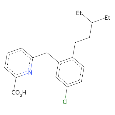 CCC(CC)CCc1ccc(Cl)cc1Cc1cccc(C(=O)O)n1